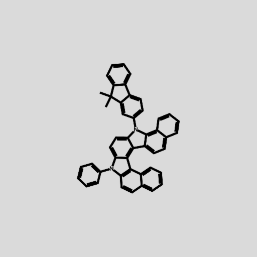 CC1(C)c2ccccc2-c2ccc(-n3c4ccc5c(c6c7ccccc7ccc6n5-c5ccccc5)c4c4ccc5ccccc5c43)cc21